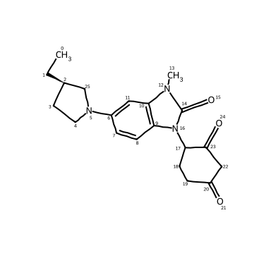 CC[C@@H]1CCN(c2ccc3c(c2)n(C)c(=O)n3C2CCC(=O)CC2=O)C1